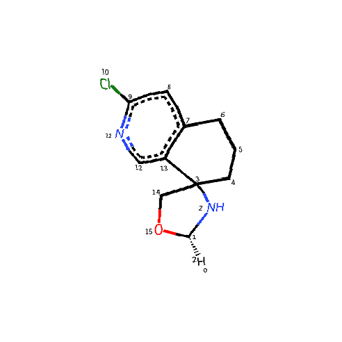 [2H][C@H]1NC2(CCCc3cc(Cl)ncc32)CO1